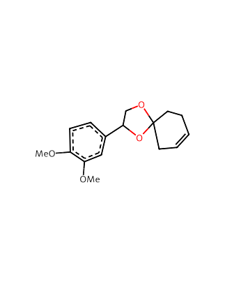 COc1ccc(C2COC3(CC=CCC3)O2)cc1OC